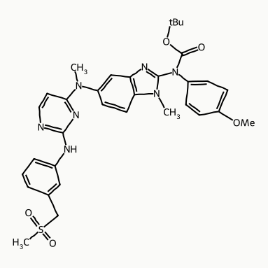 COc1ccc(N(C(=O)OC(C)(C)C)c2nc3cc(N(C)c4ccnc(Nc5cccc(CS(C)(=O)=O)c5)n4)ccc3n2C)cc1